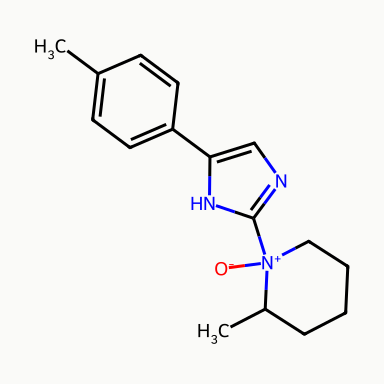 Cc1ccc(-c2cnc([N+]3([O-])CCCCC3C)[nH]2)cc1